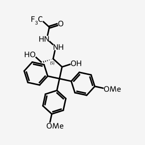 COc1ccc(C(c2ccccc2)(c2ccc(OC)cc2)C(O)[C@H](CO)NNC(=O)C(F)(F)F)cc1